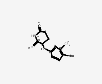 CC(C)(C)c1ccc(NC2CCC(=O)NC2=O)cc1C(F)(F)F